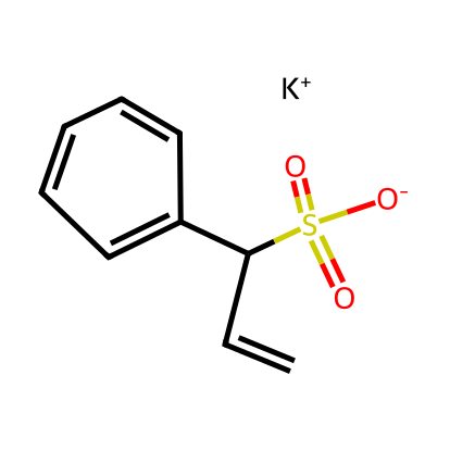 C=CC(c1ccccc1)S(=O)(=O)[O-].[K+]